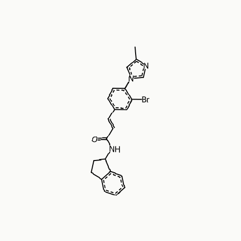 Cc1cn(-c2ccc(/C=C/C(=O)NC3CCc4ccccc43)cc2Br)cn1